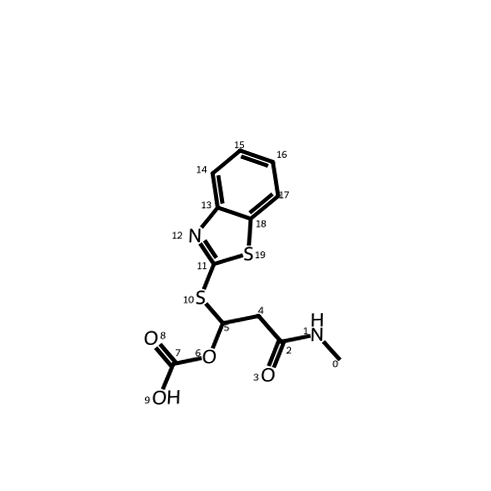 CNC(=O)CC(OC(=O)O)Sc1nc2ccccc2s1